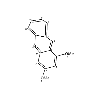 COc1cc(OC)c2cc3ccccc3nc2c1